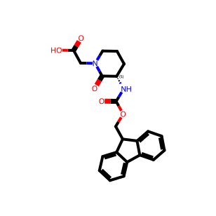 O=C(O)CN1CCC[C@H](NC(=O)OCC2c3ccccc3-c3ccccc32)C1=O